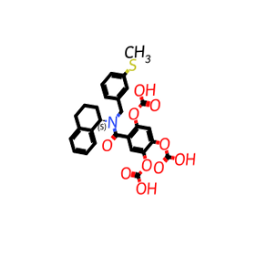 CSc1cccc(CN(C(=O)c2cc(OC(=O)O)c(OC(=O)O)cc2OC(=O)O)[C@H]2CCCc3ccccc32)c1